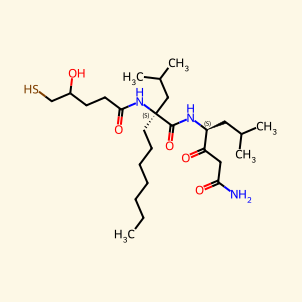 CCCCCCC[C@@](CC(C)C)(NC(=O)CCC(O)CS)C(=O)N[C@@H](CC(C)C)C(=O)CC(N)=O